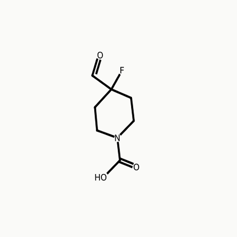 O=CC1(F)CCN(C(=O)O)CC1